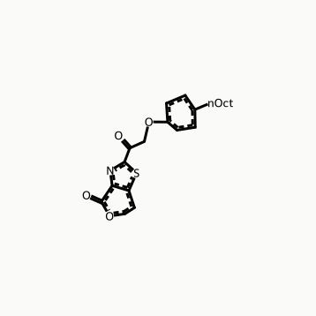 CCCCCCCCc1ccc(OCC(=O)c2nc3c(=O)occc3s2)cc1